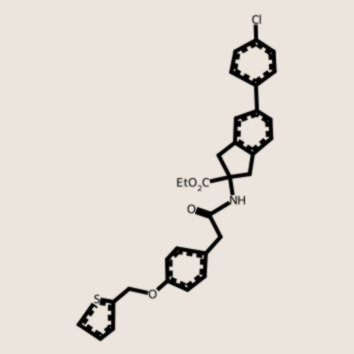 CCOC(=O)C1(NC(=O)Cc2ccc(OCc3cccs3)cc2)Cc2ccc(-c3ccc(Cl)cc3)cc2C1